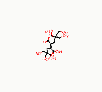 O=C(O)C(CC(CO)(CO)CO)=C(CC(CO)(CO)CO)C(=O)O